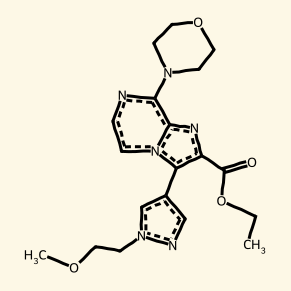 CCOC(=O)c1nc2c(N3CCOCC3)nccn2c1-c1cnn(CCOC)c1